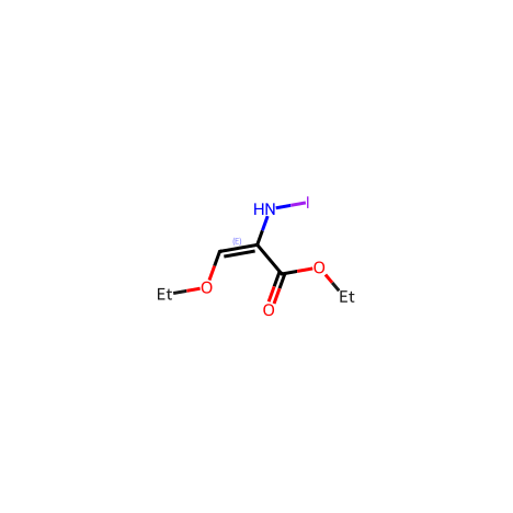 CCO/C=C(/NI)C(=O)OCC